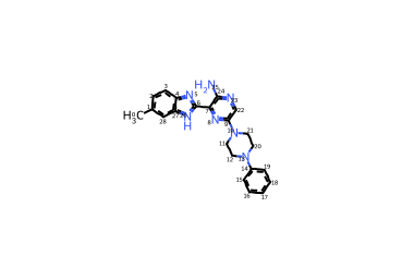 Cc1ccc2nc(-c3nc(N4CCN(c5ccccc5)CC4)cnc3N)[nH]c2c1